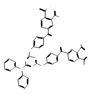 O=C(c1ccc(Nc2nc(Nc3ccc(C(=O)c4ccc(C(=O)O)c(C(=O)O)c4)cc3)nc(N(c3ccccc3)c3ccccc3)n2)cc1)c1ccc(C(=O)O)c(C(=O)O)c1